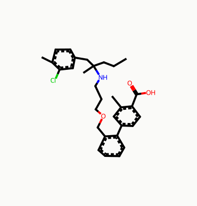 CCCC(C)(Cc1ccc(C)c(Cl)c1)NCCCOCc1ccccc1-c1ccc(C(=O)O)c(C)c1